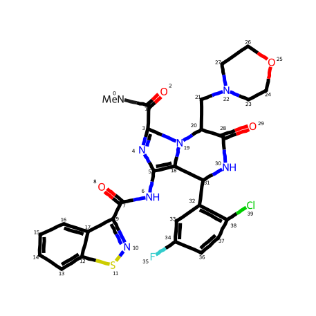 CNC(=O)c1nc(NC(=O)c2nsc3ccccc23)c2n1C(CN1CCOCC1)C(=O)NC2c1cc(F)ccc1Cl